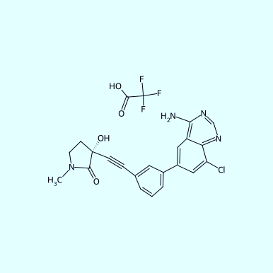 CN1CC[C@@](O)(C#Cc2cccc(-c3cc(Cl)c4ncnc(N)c4c3)c2)C1=O.O=C(O)C(F)(F)F